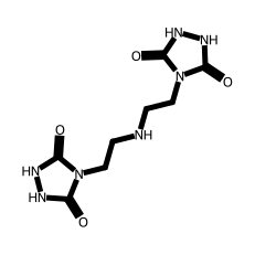 O=c1[nH][nH]c(=O)n1CCNCCn1c(=O)[nH][nH]c1=O